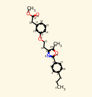 CCCc1ccc(-c2nc(CCOc3cccc(CC(=O)OC)c3)c(C)o2)cc1